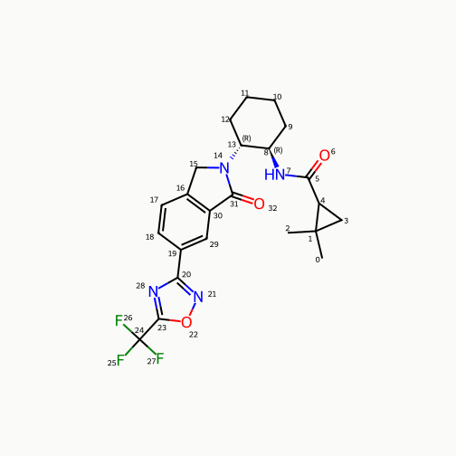 CC1(C)CC1C(=O)N[C@@H]1CCCC[C@H]1N1Cc2ccc(-c3noc(C(F)(F)F)n3)cc2C1=O